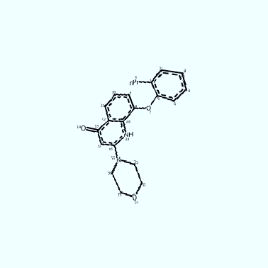 CCCc1ccccc1Oc1cccc2c(=O)cc(N3CCOCC3)[nH]c12